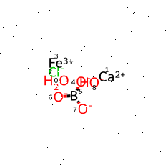 O.[Ca+2].[Cl-].[Fe+3].[O-]B([O-])[O-].[OH-]